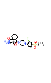 CCS(=O)(=O)c1ccc(N2CCN(C(=O)C3CCCCC3(C(N)=O)C3(C#N)CC3)CC2)c(F)c1